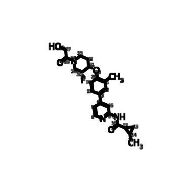 Cc1cc(-c2ccnc(NC(=O)C3CC3C)c2)ccc1O[C@H]1CCN(C(=O)CO)C[C@H]1F